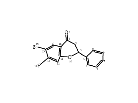 O=C1CC(c2ccccc2)Oc2cc(F)c(Br)cc21